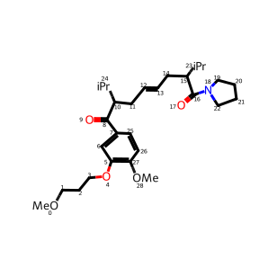 COCCCOc1cc(C(=O)C(CC=CCC(C(=O)N2CCCC2)C(C)C)C(C)C)ccc1OC